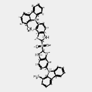 Cc1cccc2c3ccccc3n(-c3ccc4c(c3)SC(S(=O)(=O)C3Nc5ccc(-n6c7ccccc7c7cccc(C)c76)cc5S3)N4)c12